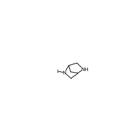 IN1CC2CC1CN2